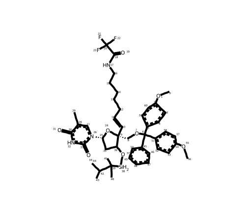 COc1ccc(C(OC[C@@]2(C=CCCCCCNC(=O)C(F)(F)F)O[C@@H](n3cc(C)c(=O)[nH]c3=O)CC2O[SiH2]C(C)(C)C(C)C)(c2ccccc2)c2ccc(OC)cc2)cc1